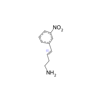 NCC/C=C/c1cccc([N+](=O)[O-])c1